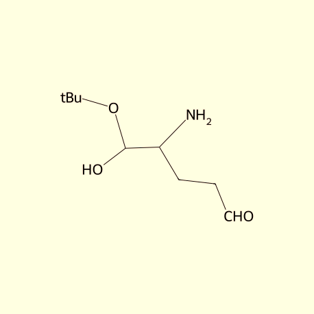 CC(C)(C)OC(O)C(N)CCC=O